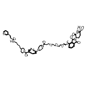 O=C(/C=C/c1cccnc1)NCCCCC1CCN(C(=O)c2ccc(N3CCN(C(=O)CCOCCOCCOCCSc4cccc5c4C(=O)N(C4CCC(=O)NC4=O)C5=O)CC3)nc2)CC1